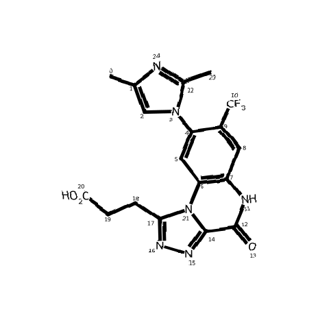 Cc1cn(-c2cc3c(cc2C(F)(F)F)[nH]c(=O)c2nnc(CCC(=O)O)n23)c(C)n1